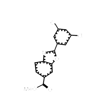 COC(=O)c1ccc2nc(-c3cc(Cl)cc(Cl)c3)oc2c1